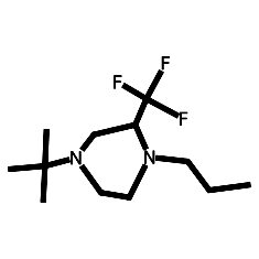 CCCN1CCN(C(C)(C)C)CC1C(F)(F)F